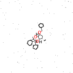 C=C[C@H]1C[C@H](OCc2ccccc2)[C@@H]2OC(C)(C)[Si](c3ccccc3)(c3ccccc3)O[C@@H]21